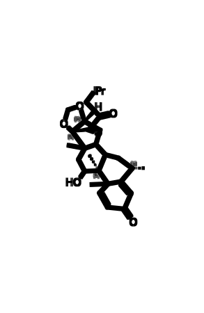 CC(C)CC(=O)C(=O)[C@@]12OCO[C@@H]1CC1C3C[C@H](C)C4=CC(=O)C=CC4(C)[C@@]3(C)C(O)CC12C